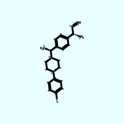 C[C@@H](c1ccc([C@@H](N)N=N)cc1)N1CCN(c2ccc(F)cc2)CC1